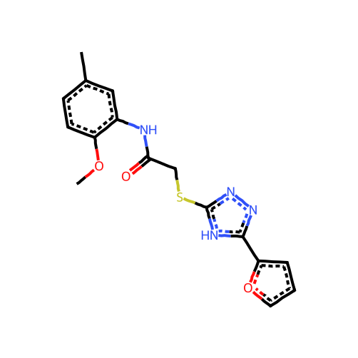 COc1ccc(C)cc1NC(=O)CSc1nnc(-c2ccco2)[nH]1